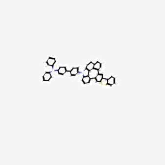 c1ccc(N(c2ccccc2)c2ccc(-c3ccc(-n4c5cccc6c5c5c7c(cccc7ccc54)-c4cc5c(cc4-6)sc4ccccc45)cc3)cc2)cc1